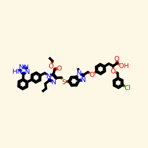 CCCc1nc(CSc2ccc3nc(COc4ccc(CC(OCc5cccc(Cl)c5)C(=O)O)cc4)n(C)c3c2)c(C(=O)OCC)n1Cc1ccc(-c2ccccc2-c2nnn[nH]2)cc1